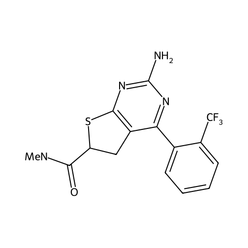 CNC(=O)C1Cc2c(nc(N)nc2-c2ccccc2C(F)(F)F)S1